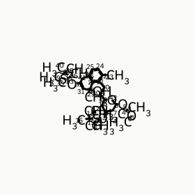 COC(C)(C)OC1CC(O[Si](C)(C)C(C)(C)C)CC(CCc2c(C)ccc3c2C(C)(O)C=C(O[Si](C)(C)C(C)(C)C)C3)O1